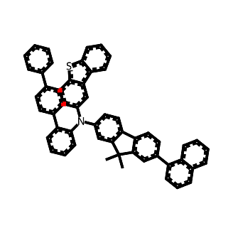 CC1(C)c2cc(-c3cccc4ccccc34)ccc2-c2ccc(N(c3ccc4sc5ccccc5c4c3)c3ccccc3-c3ccc(-c4ccccc4)cc3)cc21